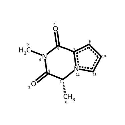 C[C@@H]1C(=O)N(C)C(=O)c2cccn21